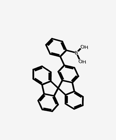 OB(O)c1ccccc1-c1ccc2c(c1)C1(c3ccccc3-c3ccccc31)c1ccccc1-2